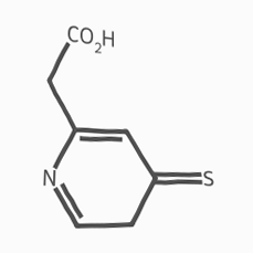 O=C(O)CC1=CC(=S)CC=N1